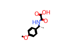 COc1ccc([C@@H](C)NC(=O)C(=O)O)cc1